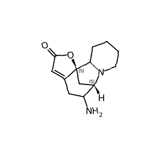 NC1CC2=CC(=O)O[C@@]23C[C@@H]1N1CCCCC13